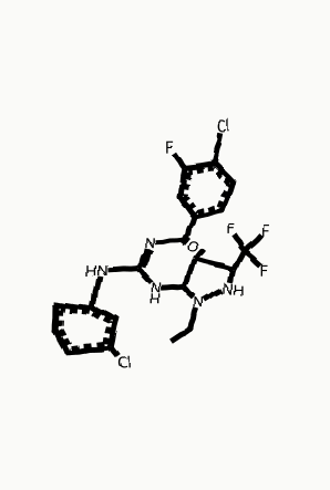 CCN1NC(C(F)(F)F)C(C)C1N/C(=N\C(=O)c1ccc(Cl)c(F)c1)Nc1cccc(Cl)c1